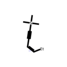 CC/C=C\C#C[Si](C)(C)C